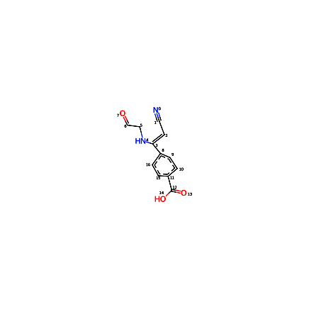 N#C/C=C(\NCC=O)c1ccc(C(=O)O)cc1